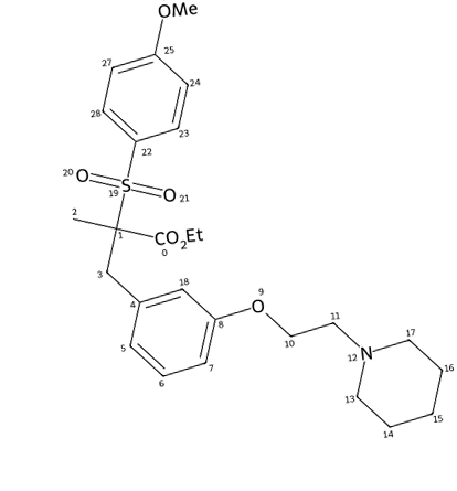 CCOC(=O)C(C)(Cc1cccc(OCCN2CCCCC2)c1)S(=O)(=O)c1ccc(OC)cc1